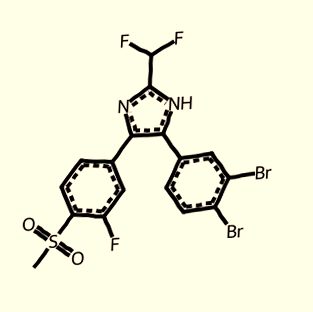 CS(=O)(=O)c1ccc(-c2nc(C(F)F)[nH]c2-c2ccc(Br)c(Br)c2)cc1F